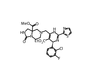 CCOC(=O)C1=C(CN2CCN3C(=O)NCC3(C(=O)OC)C2)NC(c2nccs2)=N[C@H]1c1cccc(F)c1Cl